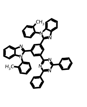 Cc1ccccc1-n1c(-c2cc(-c3nc(-c4ccccc4)nc(-c4ccccc4)n3)cc(-c3nc4ccccc4n3-c3ccccc3C)c2)nc2ccccc21